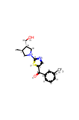 C[C@@H]1CN(c2ncc(C(=O)c3cccc(C(F)(F)F)c3)s2)C[C@H]1CO